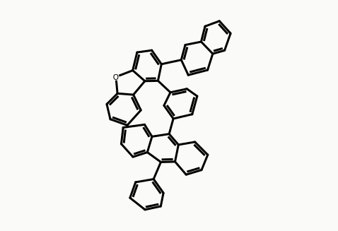 c1ccc(-c2c3ccccc3c(-c3cccc(-c4c(-c5ccc6ccccc6c5)ccc5oc6ccccc6c45)c3)c3ccccc23)cc1